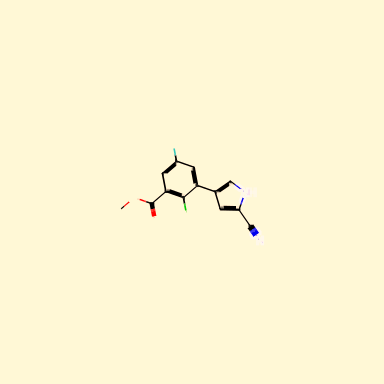 COC(=O)c1cc(F)cc(-c2c[nH]c(C#N)c2)c1Cl